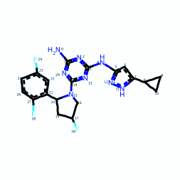 Nc1nc(Nc2cc(C3CC3)[nH]n2)nc(N2CC(F)CC2c2cc(F)ccc2F)n1